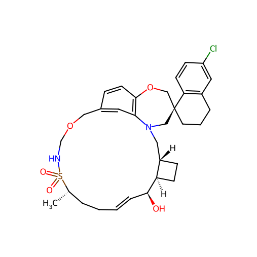 C[C@H]1CC/C=C/[C@H](O)[C@@H]2CC[C@H]2CN2C[C@@]3(CCCc4cc(Cl)ccc43)COc3ccc(cc32)COCNS1(=O)=O